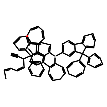 C#CC(/C=C\C=C/C)C1(c2ccccc2)c2ccccc2-c2ccc(N(C3=C(c4ccc5sc6c(c5c4)C=CC=CC6)C=CCC=C3)c3ccc4c(c3)C(C3=CC=CCC=C3)(c3ccccc3)c3ccccc3-4)cc21